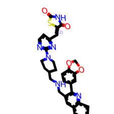 O=C1NC(=O)/C(=C/c2ccnc(N3CCC(CNCc4cc5ccccc5nc4-c4ccc5c(c4)OCO5)CC3)n2)S1